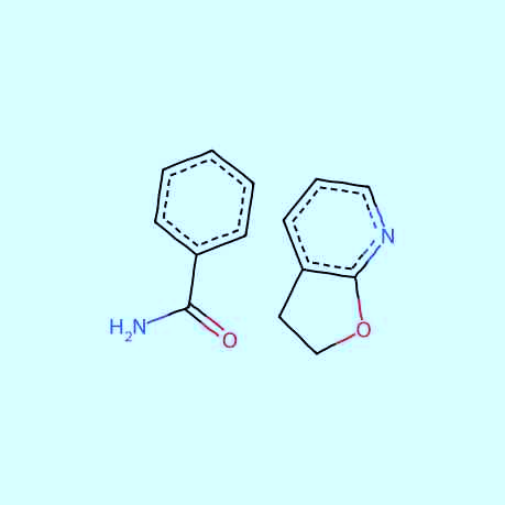 NC(=O)c1ccccc1.c1cnc2c(c1)CCO2